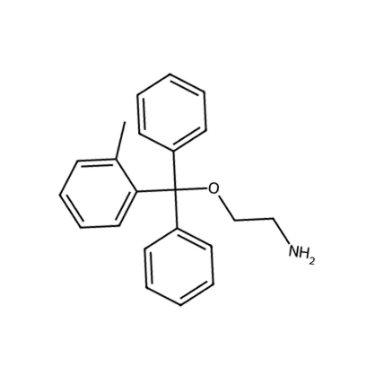 Cc1ccccc1C(OCCN)(c1ccccc1)c1ccccc1